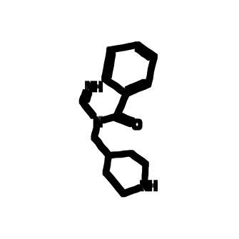 N=CN(CC1CCNCC1)C(=O)c1ccccc1